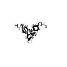 Cc1ccc(S(=O)(=O)n2cc(Cl)cc2N2CCN(C)CC2)cc1